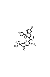 C/C(=C\c1nccc(-c2cc(F)cnc2OC2CCNC2)c1C)CN1C(=O)C2C(C1=O)C2(C)C